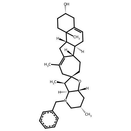 CC1=C2C[C@H]3[C@@H](CC=C4C[C@@H](O)CCC43C)[C@@H]2CC[C@@]2(C1)O[C@@H]1C[C@H](C)CN(Cc3ccccc3)[C@H]1[C@H]2C